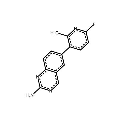 Cc1nc(F)ccc1-c1ccc2nc(N)ncc2c1